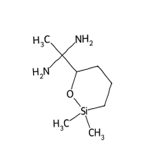 CC(N)(N)C1CCC[Si](C)(C)O1